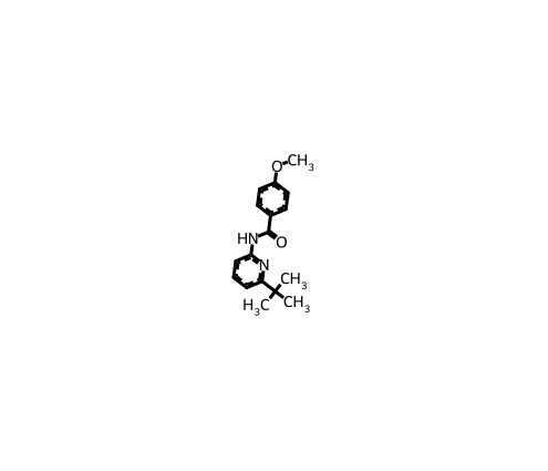 COc1ccc(C(=O)Nc2cccc(C(C)(C)C)n2)cc1